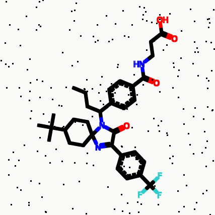 CCCC(c1ccc(C(=O)NCCC(=O)O)cc1)N1C(=O)C(c2ccc(C(F)(F)F)cc2)=NC12CCC(C(C)(C)C)CC2